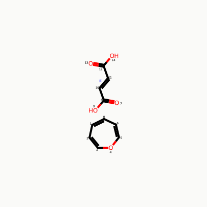 C1=CC=COC=C1.O=C(O)/C=C/C(=O)O